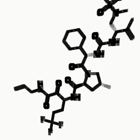 C=CCNC(=O)C(=O)C(CCC(F)(F)F)NC(=O)[C@@H]1C[C@@H](C)CN1C(=O)[C@@H](NC(=O)N[C@H](CN(C)S(C)(=O)=O)C(=C)C)C1CCCCC1